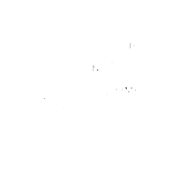 COc1c(C)c(C)c2c(c1NC(=O)CBr)CCC(C)(C)O2